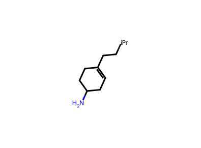 CC(C)CCC1=CCC(N)CC1